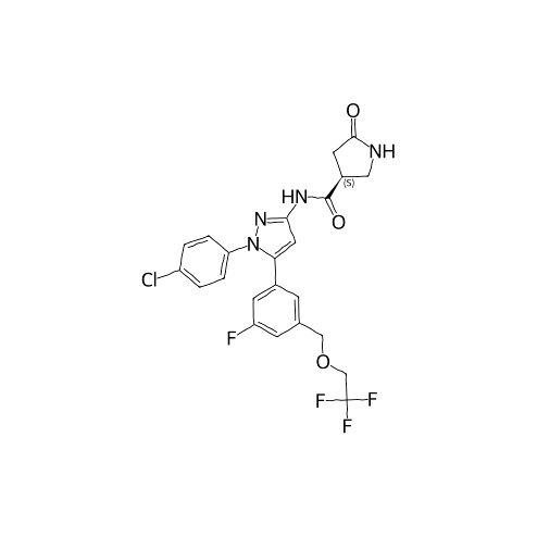 O=C1C[C@H](C(=O)Nc2cc(-c3cc(F)cc(COCC(F)(F)F)c3)n(-c3ccc(Cl)cc3)n2)CN1